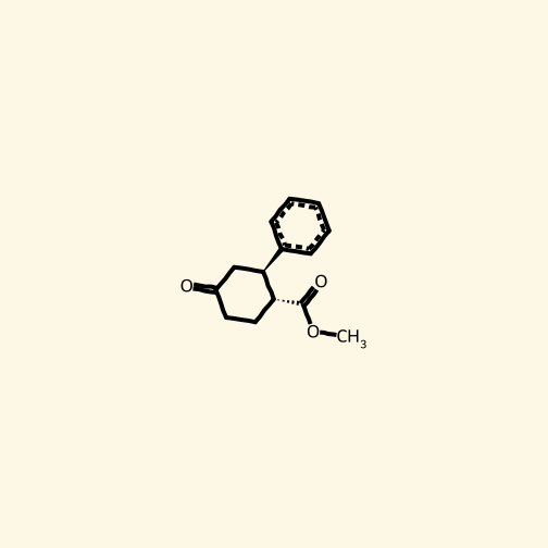 COC(=O)[C@@H]1CCC(=O)C[C@H]1c1ccccc1